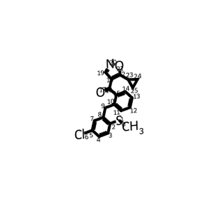 CSc1ccc(Cl)cc1Cc1ccccc1C(=O)c1cnoc1C1CC1